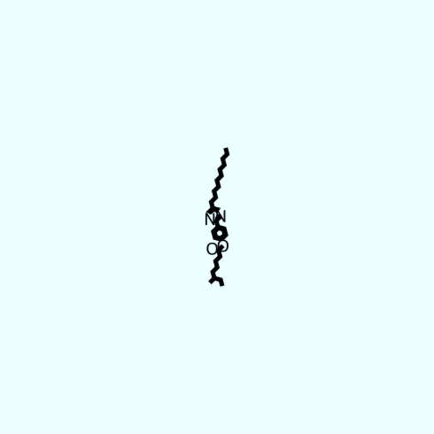 CCCCCCCCCCCc1cnc(-c2ccc(OC(=O)CCCCC(C)CC)cc2)nc1